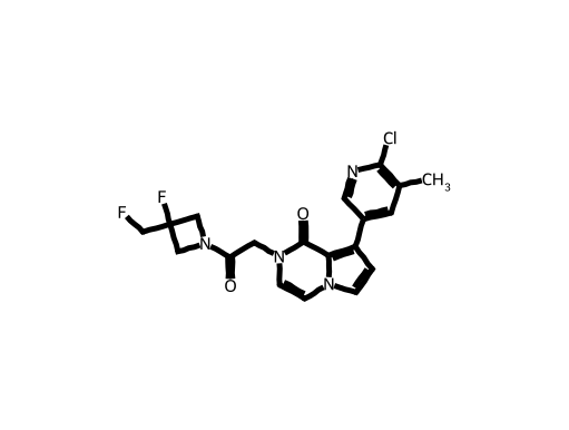 Cc1cc(-c2ccn3ccn(CC(=O)N4CC(F)(CF)C4)c(=O)c23)cnc1Cl